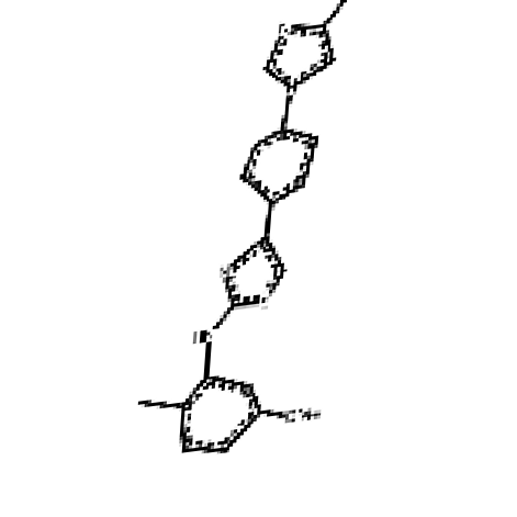 COc1ccc(C)c(Nc2nc(-c3ccc(-n4cnc(C)c4)cc3)cs2)c1